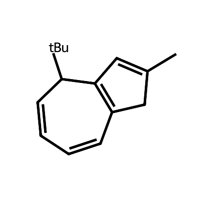 CC1=CC2=C(C=CC=CC2C(C)(C)C)C1